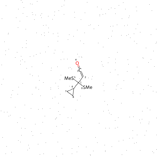 CSC(C=C=O)(SC)C1CC1